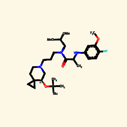 COC(CN(CCCN1CCC2(CC2)[C@H](O[Si](C)(C)C(C)(C)C)C1)C(=O)C(C)Nc1ccc(F)c(OC(F)(F)F)c1)OC